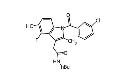 CCCCNC(=O)Cc1c(C)n(C(=O)c2cccc(Cl)c2)c2ccc(O)c(F)c12